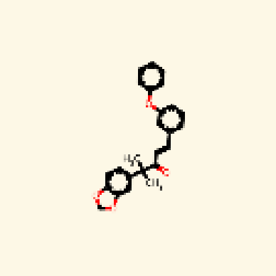 CC(C)(C(=O)/C=C/c1cccc(Oc2ccccc2)c1)c1ccc2c(c1)OCO2